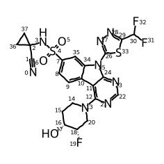 N#CC1(NS(=O)(=O)c2ccc3c4c(N5CC[C@@H](O)[C@@H](F)C5)ncnc4n(-c4nnc(C(F)F)s4)c3c2)CC1